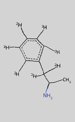 [2H]c1c([2H])c([2H])c(C([2H])([2H])C(C)N)c([2H])c1[2H]